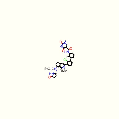 CCOC(=O)N(C[C@@H]1CCC(=O)N1)[C@H]1CCc2cc(-c3cccc(-c4cccc(NC(=O)c5cn(C)c(=O)n(C)c5=O)c4C)c3Cl)nc(OC)c21